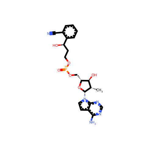 C[C@H]1[C@H](O)[C@@H](CO[PH](=O)OCC[C@@H](O)c2ccccc2C#N)O[C@H]1n1ccc2c(N)ncnc21